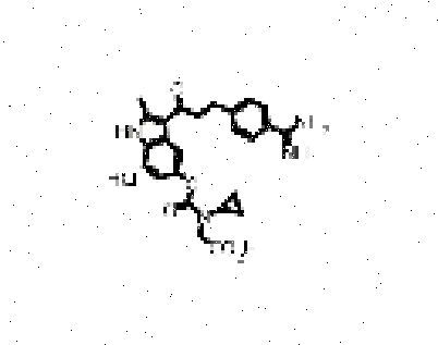 Cc1[nH]c2ccc(OC(=O)N(CC(=O)O)C3CC3)cc2c1C(=O)CCc1ccc(C(=N)N)cc1.Cl